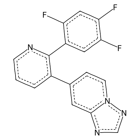 Fc1cc(F)c(-c2ncccc2-c2ccn3ncnc3c2)cc1F